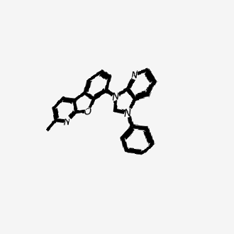 Cc1ccc2c(n1)oc1c(N3CN(c4ccccc4)c4cccnc43)cccc12